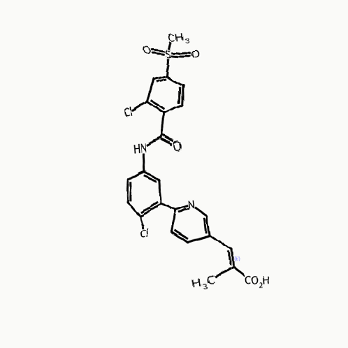 C/C(=C\c1ccc(-c2cc(NC(=O)c3ccc(S(C)(=O)=O)cc3Cl)ccc2Cl)nc1)C(=O)O